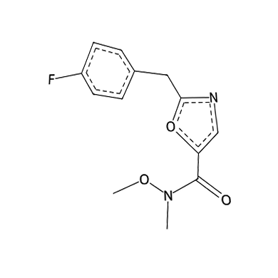 CON(C)C(=O)c1cnc(Cc2ccc(F)cc2)o1